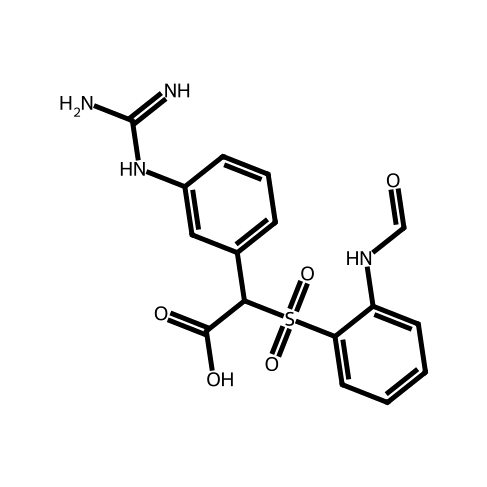 N=C(N)Nc1cccc(C(C(=O)O)S(=O)(=O)c2ccccc2NC=O)c1